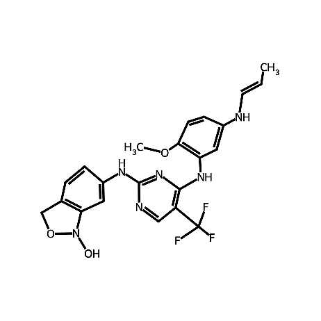 CC=CNc1ccc(OC)c(Nc2nc(Nc3ccc4c(c3)N(O)OC4)ncc2C(F)(F)F)c1